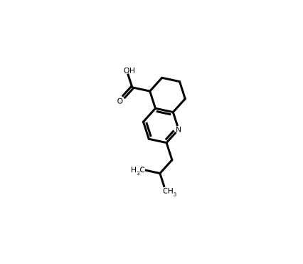 CC(C)Cc1ccc2c(n1)CCCC2C(=O)O